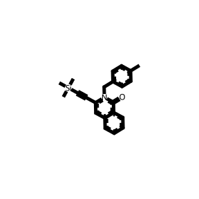 Cc1ccc(Cn2c(C#C[Si](C)(C)C)cc3ccccc3c2=O)cc1